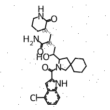 NC(=O)[C@@H](CC(O)C1CC2(CCCCC2)CN1C(=O)c1cc2c(Cl)cccc2[nH]1)C[C@@H]1CCCNC1=O